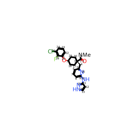 CNC(=O)[C@]1(Cc2cccc(Nc3cc[nH]n3)n2)CC[C@@H](Oc2cccc(Cl)c2F)CC1